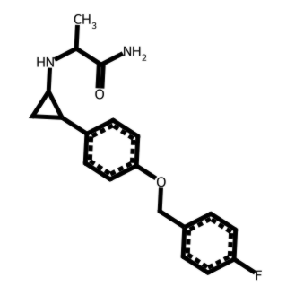 CC(NC1CC1c1ccc(OCc2ccc(F)cc2)cc1)C(N)=O